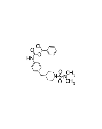 CN(C)S(=O)(=O)N1CCC(Cc2ccc(NC(=O)OC(Cl)c3ccccc3)cc2)CC1